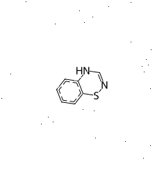 C1=NSc2ccccc2N1